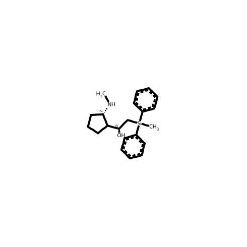 CN[C@H]1CCCC1[C@H](O)C[Si](C)(c1ccccc1)c1ccccc1